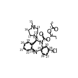 CC(=O)OC(C)OC(=O)N1C(N2CCN(C)CC2)=c2ccccc2=Nc2ccc(Cl)cc21